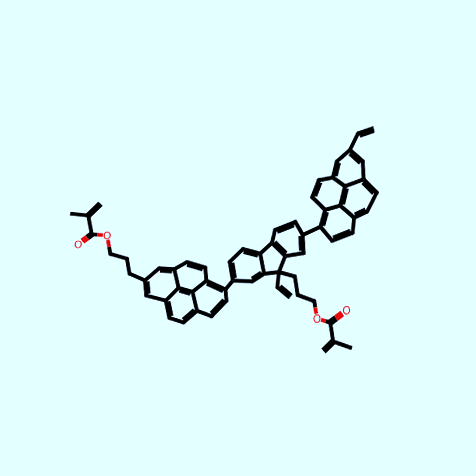 C=Cc1cc2ccc3ccc(-c4ccc5c(c4)C(C=C)(CCCOC(=O)C(=C)C)c4cc(-c6ccc7ccc8cc(CCCOC(=O)C(=C)C)cc9ccc6c7c89)ccc4-5)c4ccc(c1)c2c34